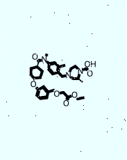 CCOC(=O)COCc1cccc(O[C@H]2CC[C@H](C(=O)N(C)c3ccc(CN4CCN(C(=O)O)[C@@H](C)C4)c(C)c3)CC2)c1